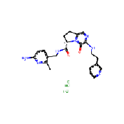 Cc1nc(N)ccc1CNC(=O)[C@@H]1CCc2cnc(NCCc3cccnc3)c(=O)n21.Cl.Cl.Cl